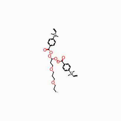 [CH2]CCOCCCOCC[C](OOC(=O)c1ccc([Si](C)(C)C=C)cc1)OOC(=O)c1ccc([Si](C)(C)C=C)cc1